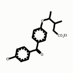 CCOC(=O)CC(C)C(C)Oc1ccc(C(=O)c2ccc(Cl)cc2)cc1